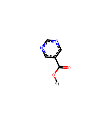 [2H]OC(=O)c1cncnc1